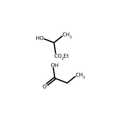 CCC(=O)O.CCOC(=O)C(C)O